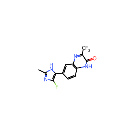 Cc1nc(F)c(-c2ccc3[nH]c(=O)c(C(F)(F)F)nc3c2)[nH]1